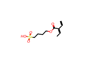 C=CC(=CC)C(=O)OCCCCS(=O)(=O)O